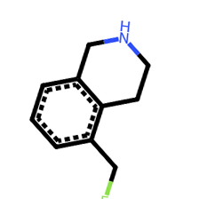 FCc1cccc2c1CCNC2